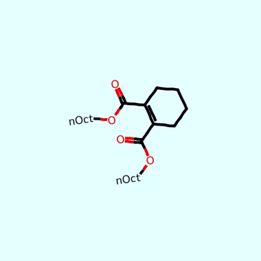 CCCCCCCCOC(=O)C1=C(C(=O)OCCCCCCCC)CCCC1